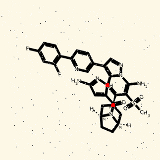 CS(=O)(=O)c1c([C@H]2C[C@H]3CC[C@@H](C2)N3C(=O)c2cc(N)n[nH]2)nc2c(-c3ccc(-c4ccc(F)cc4F)nc3)cnn2c1N